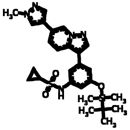 Cn1cc(-c2ccc3c(-c4cc(NS(=O)(=O)C5CC5)cc(O[Si](C)(C)C(C)(C)C)c4)cnn3c2)cn1